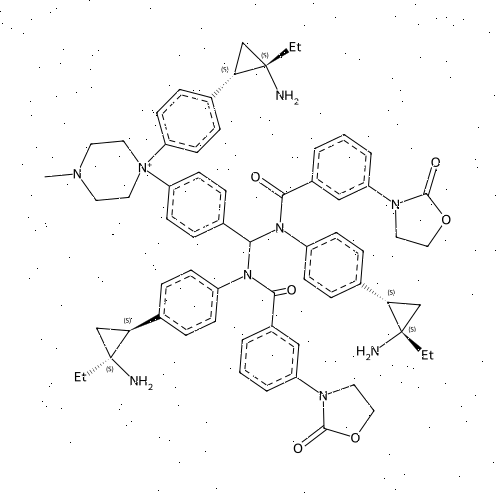 CC[C@]1(N)C[C@H]1c1ccc(N(C(=O)c2cccc(N3CCOC3=O)c2)C(c2ccc([N+]3(c4ccc([C@@H]5C[C@@]5(N)CC)cc4)CCN(C)CC3)cc2)N(C(=O)c2cccc(N3CCOC3=O)c2)c2ccc([C@@H]3C[C@@]3(N)CC)cc2)cc1